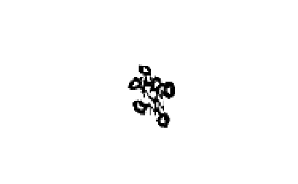 c1ccc(-c2nc(-c3ccccc3)nc(-n3c4ccccc4c4cnc5c(ncc6c7ccccc7n(-c7ccccc7)c65)c43)n2)cc1